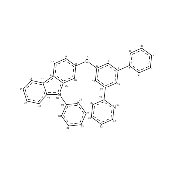 c1ccc(-c2cc(Oc3ccc4c5ccccc5n(-c5ccccn5)c4c3)cc(-c3ccccn3)c2)cc1